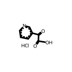 Cl.O=C(O)C(=O)c1cccnc1